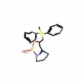 CS(CC1OP(O)N2CCCC12)(c1ccccc1)c1ccccc1